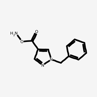 NOC(=O)c1cnn(Cc2ccccc2)c1